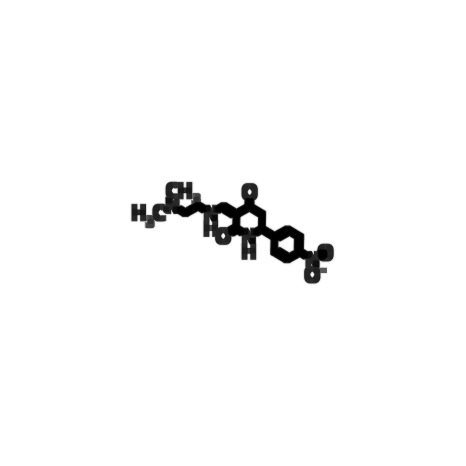 CN(C)CCN/C=C1/C(=O)CC(c2ccc([N+](=O)[O-])cc2)NC1=O